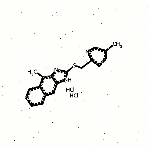 Cc1ccc(CSc2nc3c(C)c4ccccc4cc3[nH]2)nc1.Cl.Cl